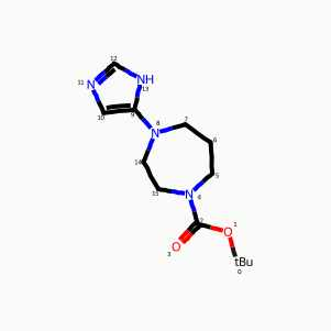 CC(C)(C)OC(=O)N1CCCN(c2cnc[nH]2)CC1